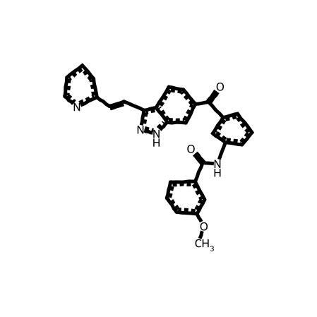 COc1cccc(C(=O)Nc2cccc(C(=O)c3ccc4c(/C=C/c5ccccn5)n[nH]c4c3)c2)c1